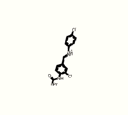 CCCC(=O)Nc1ccc(CNc2ccc(Cl)cc2)cc1Cl